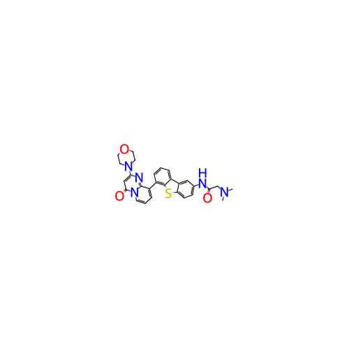 CN(C)CC(=O)Nc1ccc2sc3c(-c4cccn5c(=O)cc(N6CCOCC6)nc45)cccc3c2c1